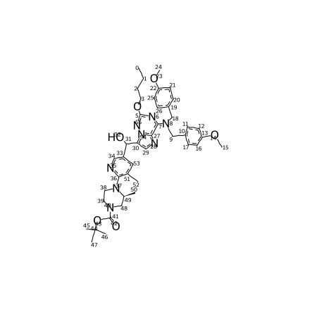 CCCCOc1nc(N(Cc2ccc(OC)cc2)Cc2ccc(OC)cc2)c2ncc(C(O)c3cnc(N4CCN(C(=O)OC(C)(C)C)C[C@@H]4C)c(C)c3)n2n1